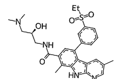 CCS(=O)(=O)c1cccc(-c2cc(C(=O)NC[C@H](O)CN(C)C)c(C)c3[nH]c4ncc(C)cc4c23)c1